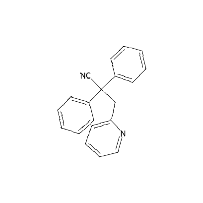 N#CC(Cc1ccccn1)(c1ccccc1)c1ccccc1